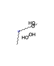 CCCCCCCC/C=C\CCCCCCCCOC(O)CC.OCCO